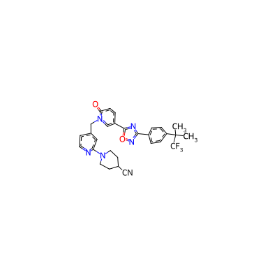 CC(C)(c1ccc(-c2noc(-c3ccc(=O)n(Cc4ccnc(N5CCC(C#N)CC5)c4)c3)n2)cc1)C(F)(F)F